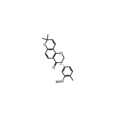 COc1cc([C@H]2COc3c(ccc4c3C=CC(C)(C)O4)C2=O)ccc1C